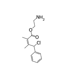 CC(C(=O)OCCN)=C(C)C(Cl)c1ccccc1